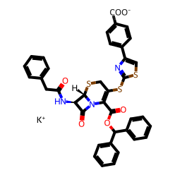 O=C(Cc1ccccc1)N[C@@H]1C(=O)N2C(C(=O)OC(c3ccccc3)c3ccccc3)=C(Sc3nc(-c4ccc(C(=O)[O-])cc4)cs3)CS[C@@H]12.[K+]